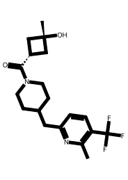 Cc1nc(CC2CCN(C(=O)[C@H]3C[C@@](C)(O)C3)CC2)ccc1C(F)(F)F